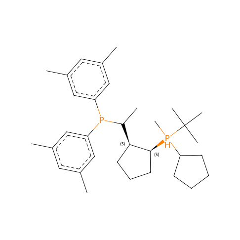 Cc1cc(C)cc(P(c2cc(C)cc(C)c2)C(C)[C@@H]2CCC[C@@H]2[PH](C)(C2CCCC2)C(C)(C)C)c1